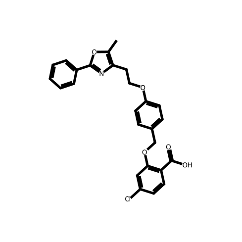 Cc1oc(-c2ccccc2)nc1CCOc1ccc(COc2cc(Cl)ccc2C(=O)O)cc1